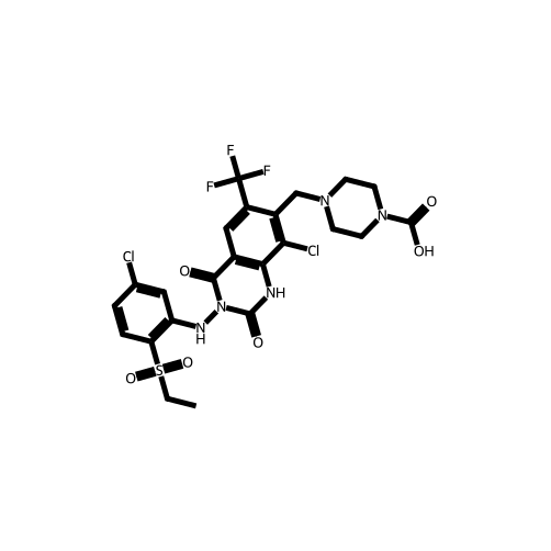 CCS(=O)(=O)c1ccc(Cl)cc1Nn1c(=O)[nH]c2c(Cl)c(CN3CCN(C(=O)O)CC3)c(C(F)(F)F)cc2c1=O